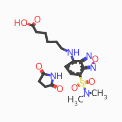 CN(C)S(=O)(=O)c1ccc(NCCCCCC(=O)O)c2nonc12.O=C1CCC(=O)N1